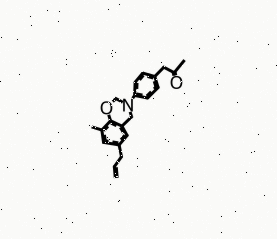 C=CCc1cc(C)c2c(c1)CN(c1ccc(CC(C)=O)cc1)CO2